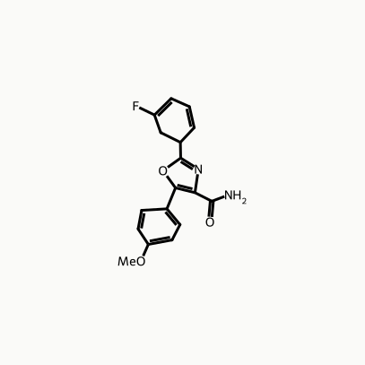 COc1ccc(-c2oc(C3C=CC=C(F)C3)nc2C(N)=O)cc1